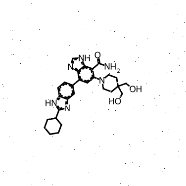 NC(=O)c1c(N2CCC(CO)(CO)CC2)cc(-c2ccc3[nH]c(C4CCCCC4)nc3c2)c2nc[nH]c12